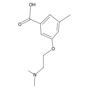 Cc1cc(OCCN(C)C)cc(C(=O)O)c1